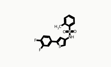 Cc1ccccc1S(=O)(=O)Nc1csc(-c2ccc(F)c(F)c2)c1